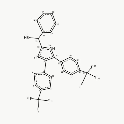 FC(F)(F)c1ccc(-c2nc(C(S)c3ccccn3)[nH]c2-c2ccc(C(F)(F)F)cc2)cc1